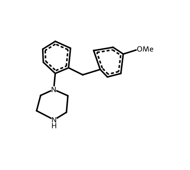 COc1ccc(Cc2ccccc2N2CCNCC2)cc1